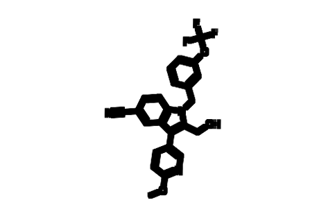 COc1ccc(-c2c(CO)n(Cc3cccc(OC(F)(F)F)c3)c3ccc(C#N)cc23)cn1